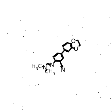 CN(C)C=Nc1ccc(-c2ccc3c(c2)OCCO3)cc1C#N